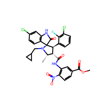 COC(=O)c1ccc([N+](=O)[O-])c(NC(=O)[C@@H]2[C@H](C)N(CC3CC3)[C@@]3(C(=O)Nc4cc(Cl)ccc43)[C@H]2c2cccc(Cl)c2F)c1